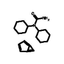 NC(=O)N(C1CCCCC1)C1CCCCC1.c1cc2cc-2c1